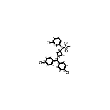 CS(=O)(=O)N(c1cccc(Cl)n1)C1CN(C(c2ccc(Cl)cc2)c2ccc(Cl)cc2)C1